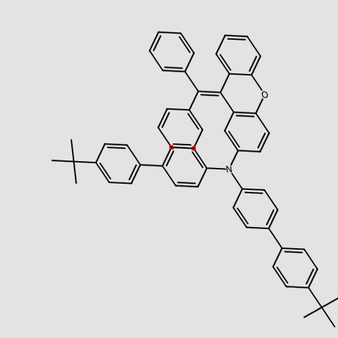 CC(C)(C)c1ccc(-c2ccc(N(c3ccc(-c4ccc(C(C)(C)C)cc4)cc3)c3ccc4c(c3)C(=C(c3ccccc3)c3ccccc3)c3ccccc3O4)cc2)cc1